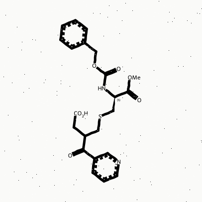 COC(=O)[C@@H](CSCC(CC(=O)O)C(=O)c1cccnc1)NC(=O)OCc1ccccc1